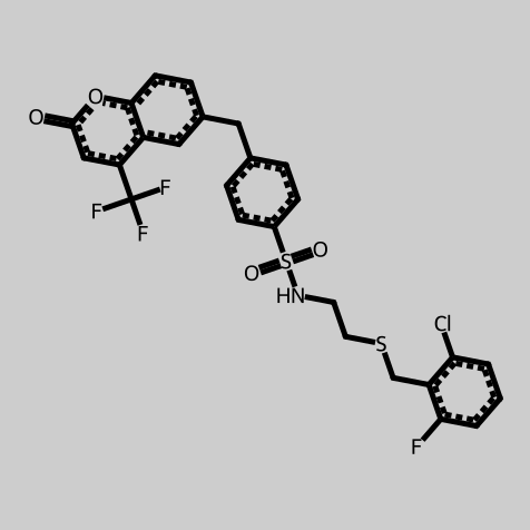 O=c1cc(C(F)(F)F)c2cc(Cc3ccc(S(=O)(=O)NCCSCc4c(F)cccc4Cl)cc3)ccc2o1